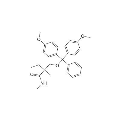 CCC(C)(COC(c1ccccc1)(c1ccc(OC)cc1)c1ccc(OC)cc1)C(=O)NC